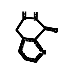 O=C1NNCc2cccnc21